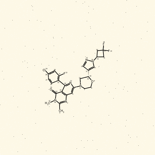 Cc1nc2cc(N3CCO[C@@H](c4cnn(C5CC(F)(F)C5)c4)C3)nc(-c3ccc(Cl)cc3F)c2c(=O)n1C